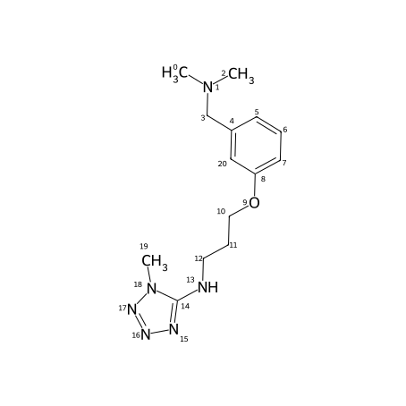 CN(C)Cc1cccc(OCCCNc2nnnn2C)c1